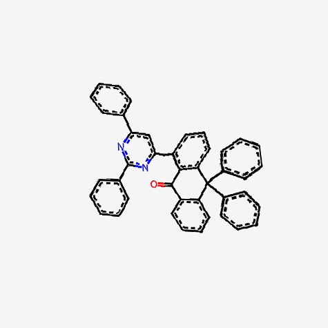 O=C1c2ccccc2C(c2ccccc2)(c2ccccc2)c2cccc(-c3cc(-c4ccccc4)nc(-c4ccccc4)n3)c21